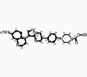 CC(=O)Nc1ccc2c(-c3cnn4cc(-c5ccc(N6CCN(C(=O)OC(C)(C)C)CC6)cc5)cnc34)ccnc2c1